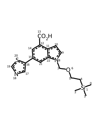 C[Si](C)(C)CCOCn1ccc2c(C(=O)O)cc(-c3cncs3)cc21